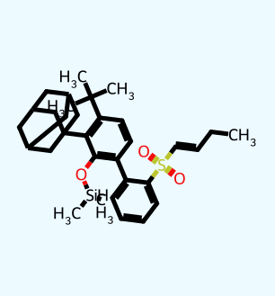 CCC=CS(=O)(=O)c1ccccc1-c1ccc(C(C)(C)C)c(C23CC4CC(CC(C4)C2)C3)c1O[SiH](C)C